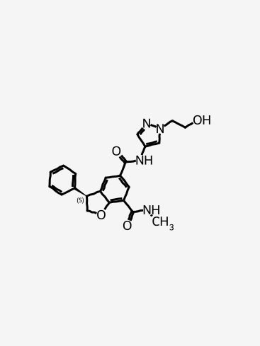 CNC(=O)c1cc(C(=O)Nc2cnn(CCO)c2)cc2c1OC[C@H]2c1ccccc1